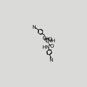 Cl.N#Cc1ccc(CO[C@@H]2CN[C@@H](C(=O)Nc3ccc(C#N)cc3)C2)cc1